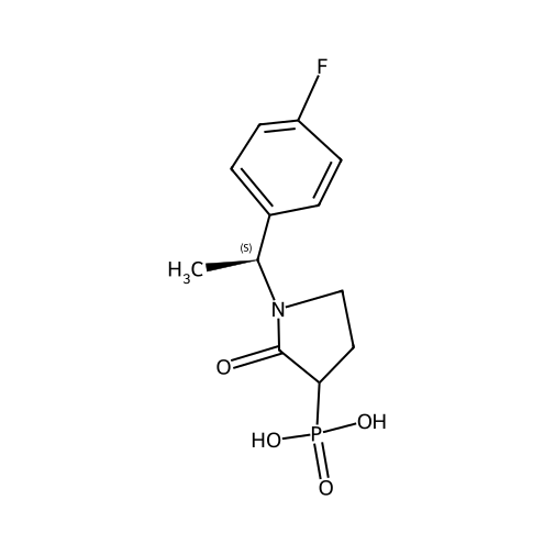 C[C@@H](c1ccc(F)cc1)N1CCC(P(=O)(O)O)C1=O